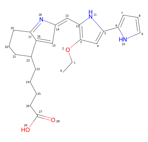 CCOc1cc(-c2ccc[nH]2)[nH]c1C=C1C=C2C(=N1)CCCC2CCCCC(=O)O